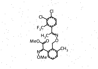 CO/N=C(/C(=O)OC)c1cccc(C)c1CO/N=C(\C)c1ccc(Cl)c(Cl)c1C(F)(F)F